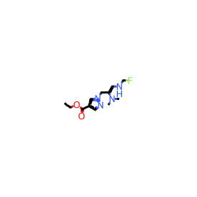 CCOC(=O)c1cnn(C/C(=C/NCF)N(C)C)c1